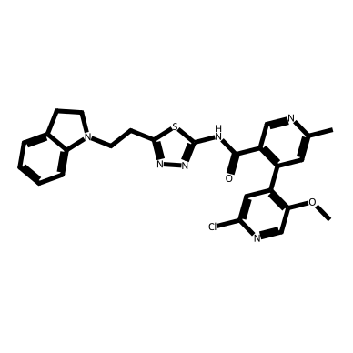 COc1cnc(Cl)cc1-c1cc(C)ncc1C(=O)Nc1nnc(CCN2CCc3ccccc32)s1